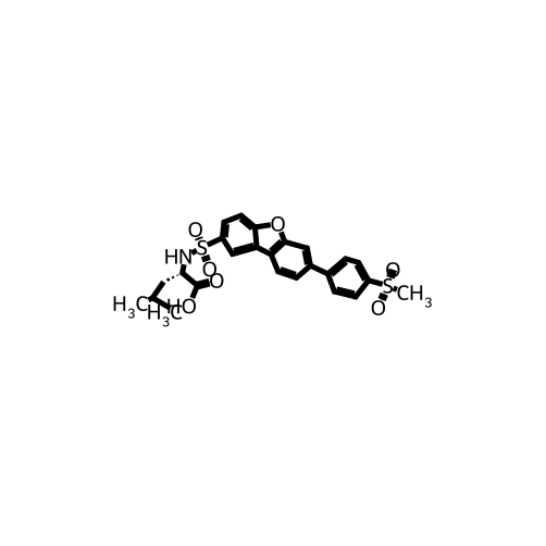 CC(C)C[C@H](NS(=O)(=O)c1ccc2oc3cc(-c4ccc(S(C)(=O)=O)cc4)ccc3c2c1)C(=O)O